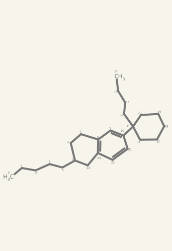 CCCCCC1CCc2cc(C3(CCCC)CCCCC3)ccc2C1